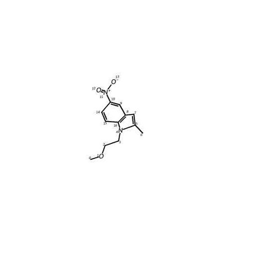 COCCn1c(C)cc2cc([N+](=O)[O-])ccc21